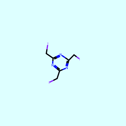 ICc1nc(CI)nc(CI)n1